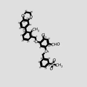 Cc1c(COc2cc(OCc3cccc(S(C)(=O)=O)c3)c(C=O)cc2Cl)cccc1-c1ccc2c(c1)OCCO2